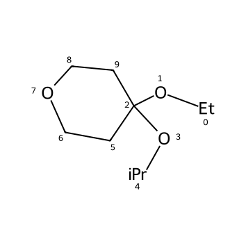 CCOC1(OC(C)C)CCOCC1